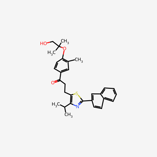 Cc1cc(C(=O)CCc2sc(-c3ccc4ccccc4c3)nc2C(C)C)ccc1OC(C)(C)CO